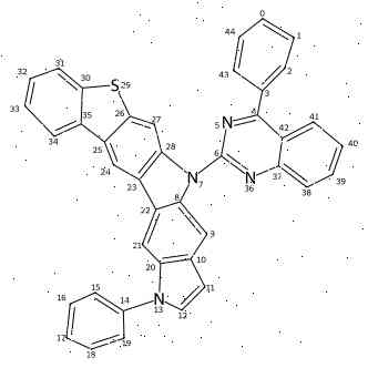 c1ccc(-c2nc(-n3c4cc5ccn(-c6ccccc6)c5cc4c4cc5c(cc43)sc3ccccc35)nc3ccccc23)cc1